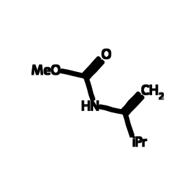 C=C(NC(=O)OC)C(C)C